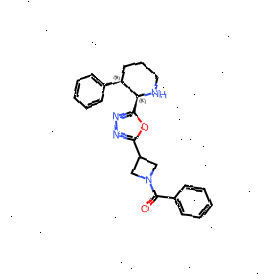 O=C(c1ccccc1)N1CC(c2nnc([C@@H]3NCCC[C@@H]3c3ccccc3)o2)C1